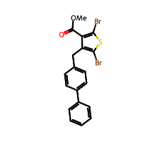 COC(=O)c1c(Br)sc(Br)c1Cc1ccc(-c2ccccc2)cc1